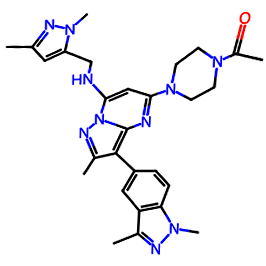 CC(=O)N1CCN(c2cc(NCc3cc(C)nn3C)n3nc(C)c(-c4ccc5c(c4)c(C)nn5C)c3n2)CC1